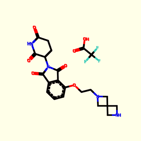 O=C(O)C(F)(F)F.O=C1CCC(N2C(=O)c3cccc(OCCN4CC5(CNC5)C4)c3C2=O)C(=O)N1